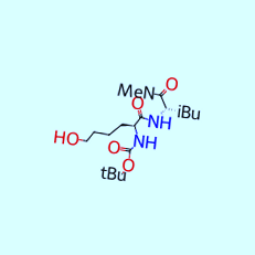 CC[C@@H](C)[C@H](NC(=O)[C@H](CCCCO)NC(=O)OC(C)(C)C)C(=O)NC